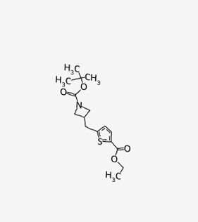 CCOC(=O)c1ccc(CC2CN(C(=O)OC(C)(C)C)C2)s1